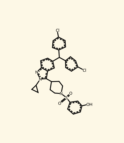 O=S(=O)(c1cccc(O)c1)N1CCC(c2c3cc(C(c4ccc(Cl)cc4)c4ccc(Cl)cc4)ccc3nn2C2CC2)CC1